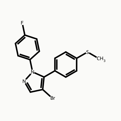 CSc1ccc(-c2c(Br)cnn2-c2ccc(F)cc2)cc1